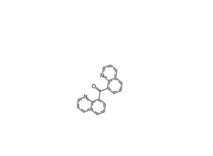 O=C(c1cccc2cccnc12)c1cccc2cccnc12